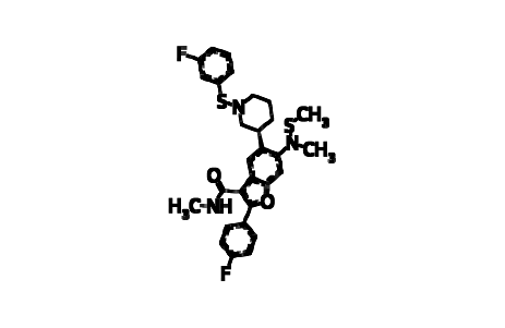 CNC(=O)c1c(-c2ccc(F)cc2)oc2cc(N(C)SC)c([C@@H]3CCCN(Sc4cccc(F)c4)C3)cc12